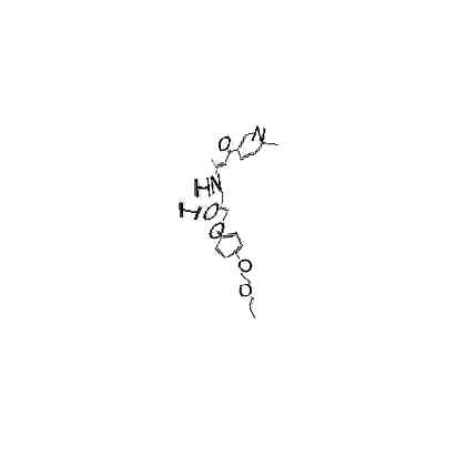 CCCOCCOc1ccc(OCC(O)CNC(C)=CC(=O)c2ccc(C)nc2)cc1